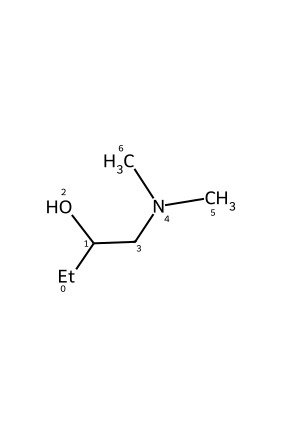 [CH2]CC(O)CN(C)C